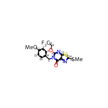 COc1ccc(Cn2c(OCC(F)(F)F)nc3sc(SC)nc3c2=O)cc1